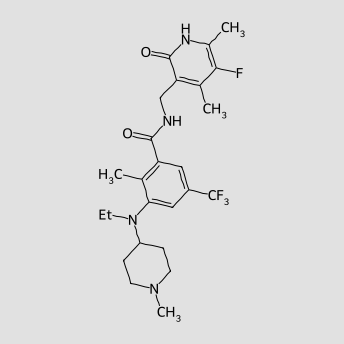 CCN(c1cc(C(F)(F)F)cc(C(=O)NCc2c(C)c(F)c(C)[nH]c2=O)c1C)C1CCN(C)CC1